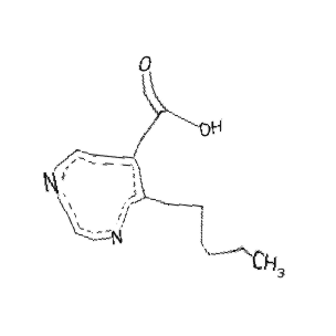 CCCc1ncncc1C(=O)O